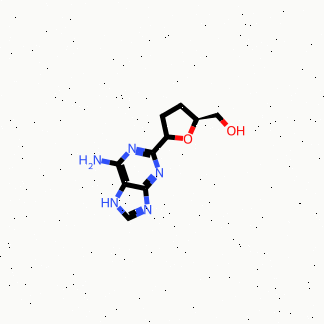 Nc1nc(C2CC[C@@H](CO)O2)nc2nc[nH]c12